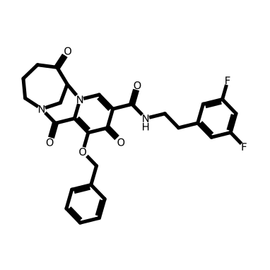 O=C(NCCc1cc(F)cc(F)c1)c1cn2c(c(OCc3ccccc3)c1=O)C(=O)N1CCCC(=O)C2C1